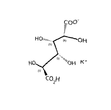 O=C(O)[C@@H](O)[C@@H](O)[C@H](O)[C@@H](O)C(=O)[O-].[K+]